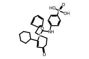 O=C1C=C(C2CCCCC2)S(Cc2ccccc2)(C(=O)Nc2ccc(P(=O)(O)O)cc2)CC1